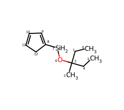 CCC(C)(CC)O[SiH2]C1=CC=CC1